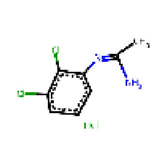 CC(N)=Nc1cccc(Cl)c1Cl.Cl